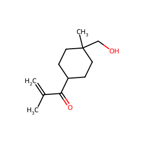 C=C(C)C(=O)C1CCC(C)(CO)CC1